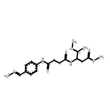 COC(=O)CC(NC(=O)CCC(=O)Nc1ccc(C=NN)cc1)C(C)OC